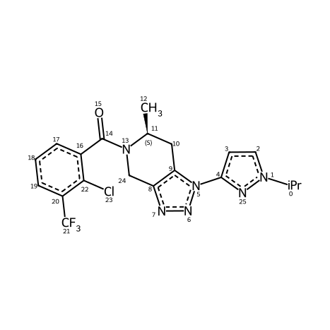 CC(C)n1ccc(-n2nnc3c2C[C@H](C)N(C(=O)c2cccc(C(F)(F)F)c2Cl)C3)n1